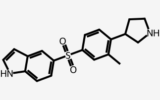 Cc1cc(S(=O)(=O)c2ccc3[nH]ccc3c2)ccc1C1CCNC1